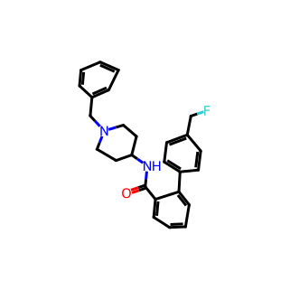 O=C(NC1CCN(Cc2ccccc2)CC1)c1ccccc1-c1ccc(CF)cc1